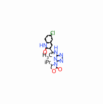 CC(C)C1COC(=O)N1c1ncnc(N[C@H](C)c2cc3cc(Cl)ccc3[nH]c2=O)n1